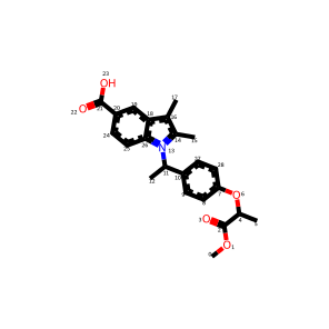 COC(=O)C(C)Oc1ccc(C(C)n2c(C)c(C)c3cc(C(=O)O)ccc32)cc1